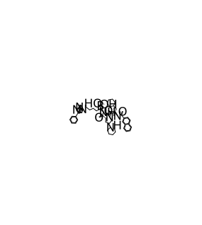 O=C(N[C@H](CC1CCCCC1)C(=O)N1C[C@H](N2CCCCC2)C[C@H]1C(=O)N[C@@H](CCCCn1cc(-c2ccccc2)nn1)B(O)O)c1ccc2ccccc2c1